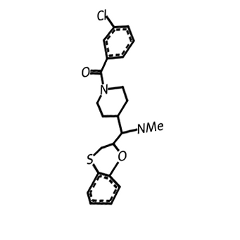 CNC(C1CCN(C(=O)c2cccc(Cl)c2)CC1)C1CSc2ccccc2O1